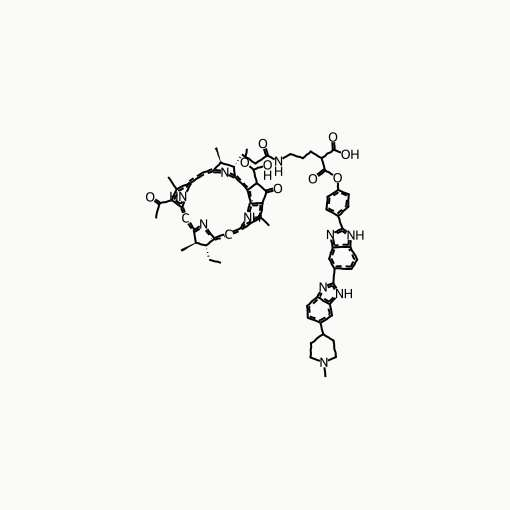 CC[C@H]1c2cc3[nH]c4c(c3C)C(=O)C(C(O)OC)c4c3nc(cc4[nH]c(cc(n2)[C@@H]1C)c(C(C)=O)c4C)[C@@H](C)[C@@H]3CCC(=O)NCCCC(C(=O)O)C(=O)Oc1ccc(-c2nc3cc(-c4nc5ccc(C6CCN(C)CC6)cc5[nH]4)ccc3[nH]2)cc1